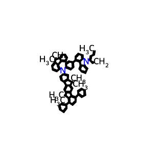 C=C/C(=C\C=C/C)n1c2ccccc2c2c(-c3ccc(N(c4ccc5c(c4)C(C)(C)c4cc6c(cc4-5)C(C)(C)c4c(-c5ccccc5)ccc(-c5ccccc5)c4-6)c4cccc5c4-c4ccccc4C5(C)C)cc3)cccc21